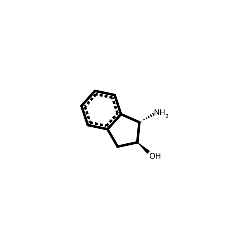 N[C@H]1c2ccccc2C[C@@H]1O